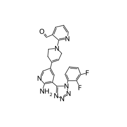 Nc1ncc(C2=CCN(c3ncccc3C=O)CC2)cc1-c1nnnn1-c1cccc(F)c1F